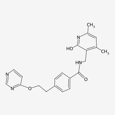 Cc1cc(C)c(CNC(=O)c2ccc(CCOc3ccncn3)cc2)c(O)n1